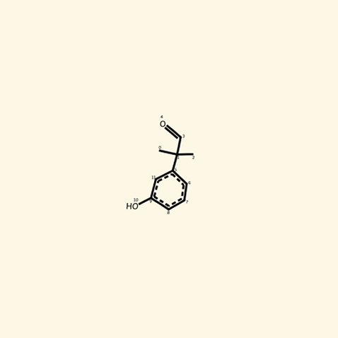 CC(C)(C=O)c1cccc(O)c1